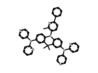 Cc1nc(-c2ccccc2)ccc1N1c2ccc(N(c3ccncc3)c3ccccn3)cc2C(C)(C)c2cc(N(c3ccncc3)c3ccccn3)ccc21